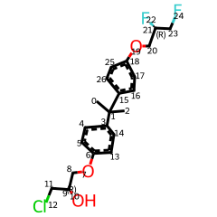 CC(C)(c1ccc(OC[C@@H](O)CCl)cc1)c1ccc(OC[C@@H](F)CF)cc1